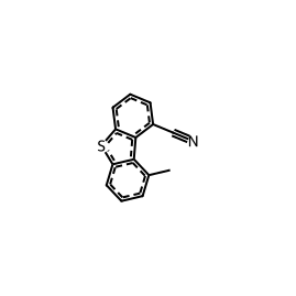 Cc1cccc2sc3cccc(C#N)c3c12